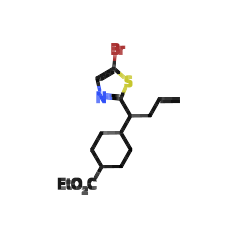 C=CCC(c1ncc(Br)s1)C1CCC(C(=O)OCC)CC1